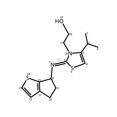 CC(C)c1cs/c(=N\C2CCc3ccsc32)n1CCO